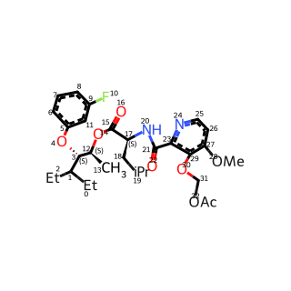 CCC(CC)[C@H](Oc1cccc(F)c1)[C@H](C)OC(=O)[C@H](CC(C)C)NC(=O)c1nccc(OC)c1OCOC(C)=O